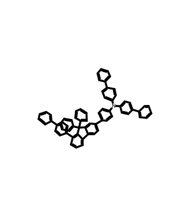 c1ccc(-c2ccc(-c3cccc4c3C(c3ccccc3)(c3ccccc3)c3cc(-c5ccc(N(c6ccc(-c7ccccc7)cc6)c6ccc(-c7ccccc7)cc6)cc5)ccc3-4)cc2)cc1